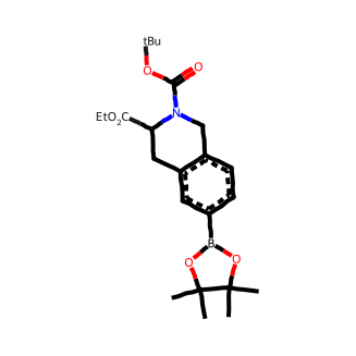 CCOC(=O)C1Cc2cc(B3OC(C)(C)C(C)(C)O3)ccc2CN1C(=O)OC(C)(C)C